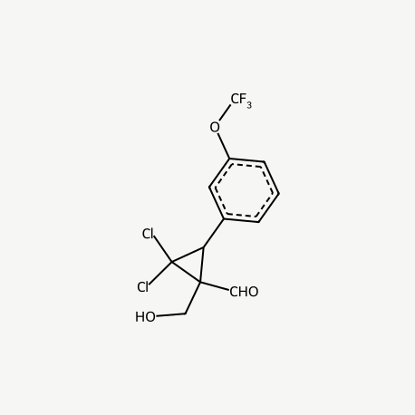 O=CC1(CO)C(c2cccc(OC(F)(F)F)c2)C1(Cl)Cl